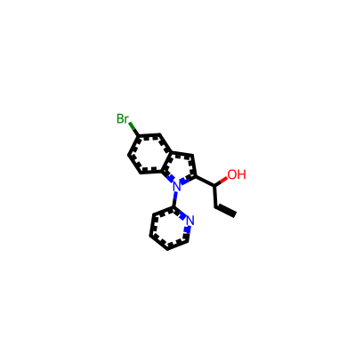 C=CC(O)c1cc2cc(Br)ccc2n1-c1ccccn1